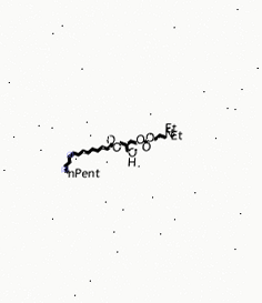 CCCCC/C=C\C/C=C\CCCCCCCC(=O)OCC(CO)CCOC(=O)OCCCN(CC)CC